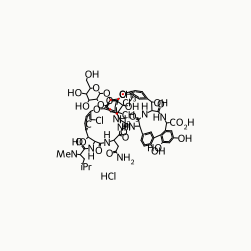 CNC(CC(C)C)C(=O)NC1C(=O)NC(CC(N)=O)C(=O)NC2C(=O)NC3C(=O)NC(C(=O)NC(C(=O)O)c4cc(O)cc(O)c4-c4cc3ccc4O)C(O)c3ccc(c(Cl)c3)Oc3cc2cc(c3OC2OC(CO)C(O)C(O)C2OC2CC(C)(N)C(O)C(C)O2)Oc2ccc(cc2Cl)C1O.Cl